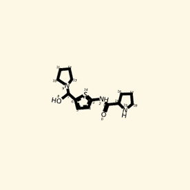 O=C(Nc1ccc(C(O)N2CCCC2)s1)C1CCCN1